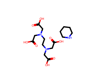 C1CCNCC1.O=C(O)CN(CCN(CC(=O)O)CC(=O)O)CC(=O)O